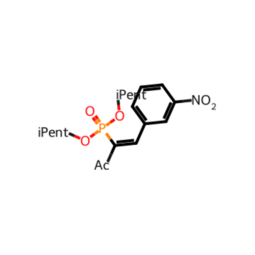 CCCC(C)OP(=O)(OC(C)CCC)C(=Cc1cccc([N+](=O)[O-])c1)C(C)=O